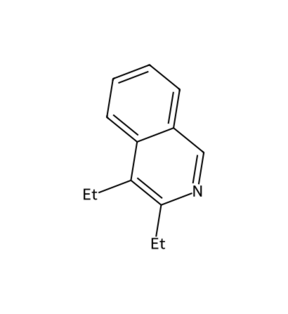 CCc1ncc2ccccc2c1CC